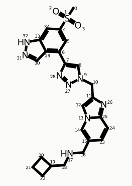 CS(=O)(=O)c1cc(-c2cn(Cc3cn4cc(CNCC5CCC5)ccc4n3)nn2)c2cn[nH]c2c1